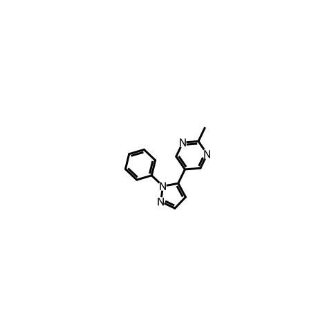 Cc1ncc(-c2ccnn2-c2ccccc2)cn1